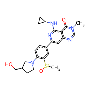 Cn1cnc2cc(-c3ccc(N4CC[C@@H](CO)C4)c([S+](C)[O-])c3)nc(NC3CC3)c2c1=O